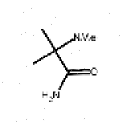 C[N]C(C)(C)C(N)=O